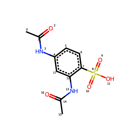 CC(=O)Nc1ccc(S(=O)(=O)O)c(NC(C)=O)c1